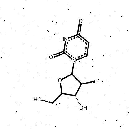 C[C@@H]1C(n2ccc(=O)[nH]c2=O)OC(CO)[C@H]1O